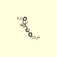 O=C(O)c1ccc(-c2ccc(/C=C3\SC(=S)N(Cc4ccccc4C(F)(F)F)C3=O)o2)cc1